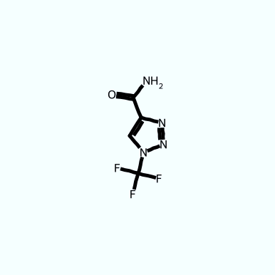 NC(=O)c1cn(C(F)(F)F)nn1